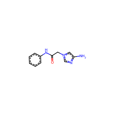 Nc1cn(CC(=O)Nc2ccccc2)cn1